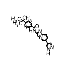 CC(C)(C)c1ccc(C(=O)Nc2cn3cc(-c4cn[nH]c4)ccc3n2)cn1